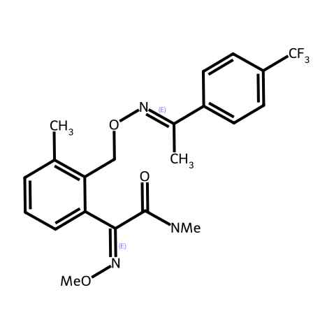 CNC(=O)/C(=N/OC)c1cccc(C)c1CO/N=C(\C)c1ccc(C(F)(F)F)cc1